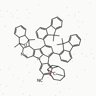 CC1(C)c2ccccc2-c2cccc(-c3cc(-c4cccc5c4C(C)(C)c4ccccc4-5)c4c5c6c(c(C#N)cc5n5c7c(c3c45)C3C(N=C7)C4(C)OC3(C)C3C=CC=CC34)C3CC4CC(C3)CC6C4)c21